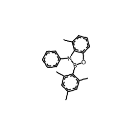 Cc1cc(C)c(B2Oc3cccc(C)c3N2c2ccccc2)c(C)c1